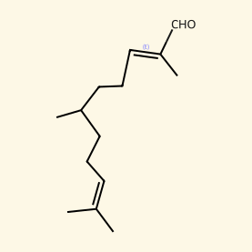 CC(C)=CCCC(C)CC/C=C(\C)C=O